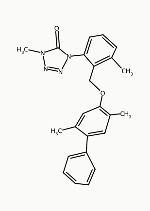 Cc1cc(-c2ccccc2)c(C)cc1OCc1c(C)cccc1-n1nnn(C)c1=O